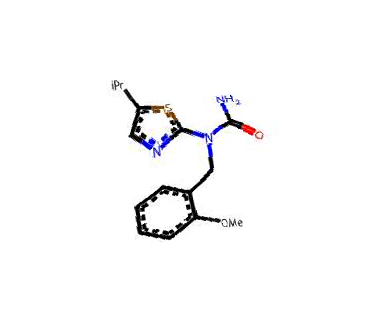 COc1ccccc1CN(C(N)=O)c1ncc(C(C)C)s1